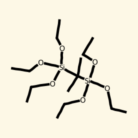 CCO[Si](OCC)(OCC)C(C)(C)[Si](OCC)(OCC)OCC